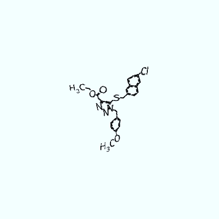 CCOC(=O)c1nnn(Cc2ccc(OC)cc2)c1SCc1ccc2cc(Cl)ccc2c1